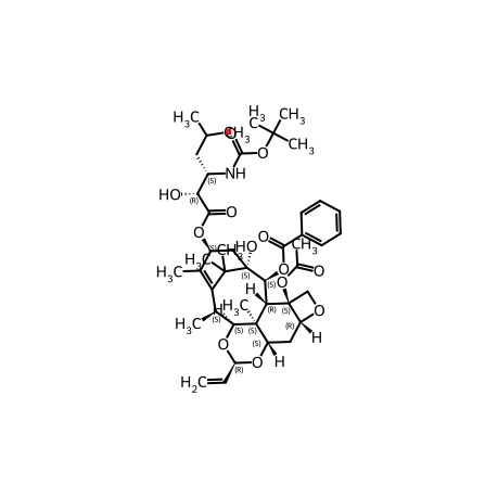 C=C[C@@H]1O[C@H]2C[C@H]3OC[C@@]3(OC(C)=O)[C@H]3[C@H](OC(=O)c4ccccc4)[C@]4(O)C[C@H](OC(=O)[C@H](O)[C@H](CC(C)C)NC(=O)OC(C)(C)C)C(C)=C([C@H](C)[C@H](O1)[C@]23C)C4(C)C